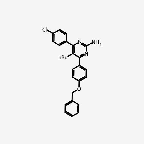 CCCCc1c(-c2ccc(Cl)cc2)nc(N)nc1-c1ccc(OCc2ccccc2)cc1